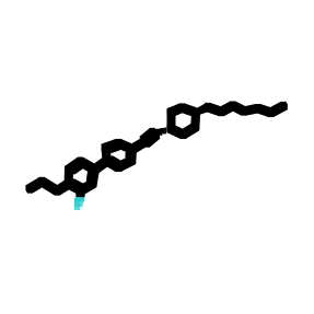 CCCCCCC[C@H]1CC[C@H](C#Cc2ccc(-c3ccc(CCC)c(F)c3)cc2)CC1